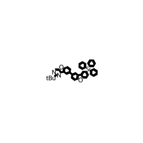 CC(C)(C)c1ncc2oc3ccc(-c4ccc5oc6ccc([Si](c7ccccc7)(c7ccccc7)c7ccccc7)cc6c5c4)cc3c2n1